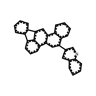 c1ccc2c(c1)-c1cccc3c1c-2cc1c2ccccc2c(-c2cnc4ccccc4c2)cc31